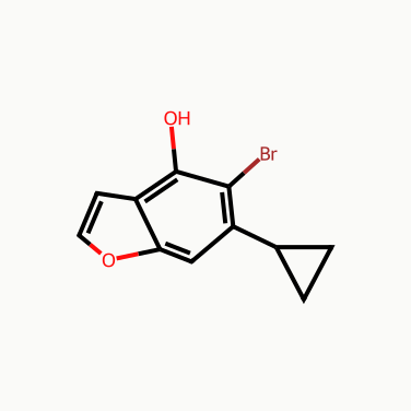 Oc1c(Br)c(C2CC2)cc2occc12